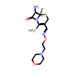 NC1C(=O)N2C(C(=O)O)=C(C=NOCCN3CCOCC3)CS[C@@H]12